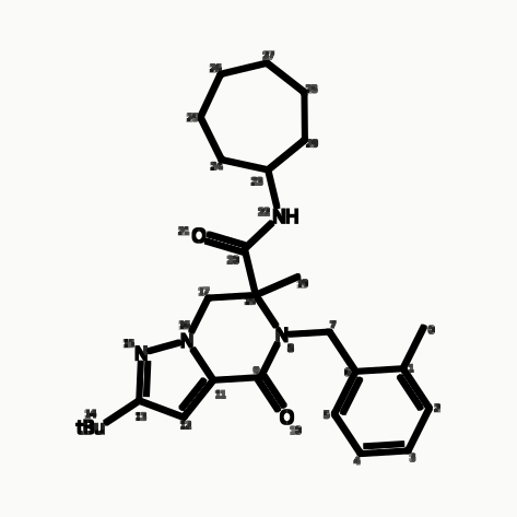 Cc1ccccc1CN1C(=O)c2cc(C(C)(C)C)nn2CC1(C)C(=O)NC1CCCCCC1